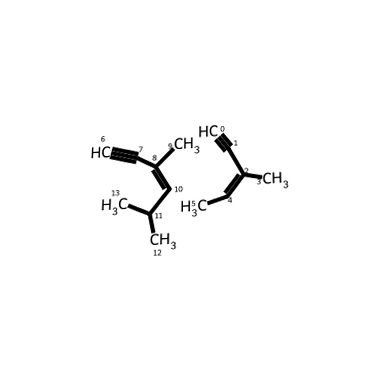 C#CC(C)=CC.C#CC(C)=CC(C)C